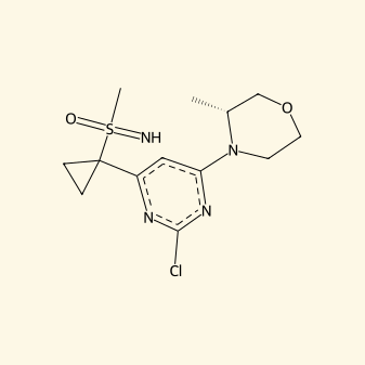 C[C@@H]1COCCN1c1cc(C2(S(C)(=N)=O)CC2)nc(Cl)n1